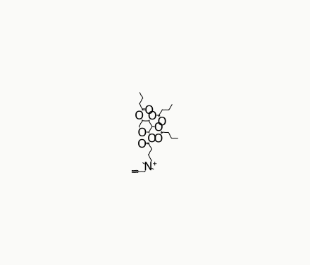 C#CC[N+](C)(C)CCCC(=O)OC1OC[C@@H](OC(=O)CCC)[C@@H](OC(=O)CCC)[C@H]1OC(=O)CCC